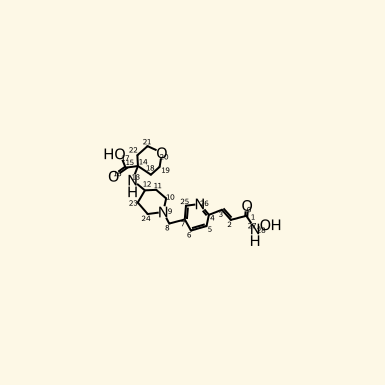 O=C(C=Cc1ccc(CN2CCC(NC3(C(=O)O)CCOCC3)CC2)cn1)NO